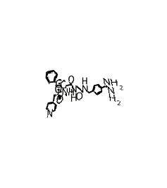 NC(N)c1ccc(CNC(=O)CNC(=O)[C@@H](CCc2ccccc2)NS(=O)(=O)Cc2ccncc2)cc1